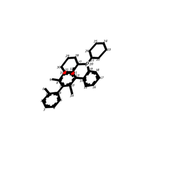 Cc1ccccc1-c1c(C)cc(C)c(-c2ccccc2P(C2CCCCC2)C2CCCCC2)c1C